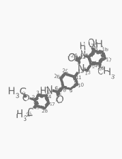 COc1cc(NC(=O)C2CCC(N3Cc4c(C)ccc(O)c4NC3=O)CC2)ccc1C